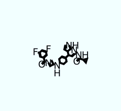 O=C(NC1=CC(C2=CCC(NC3CN(C(=O)c4cc(F)cc(F)c4)C3)CC2)C2C=CNC2=N1)C1CC1